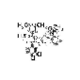 Cc1cc(C)cc(C(=O)C(C)CC(CCN2CCC3(CC2)CN(S(C)(=O)=O)c2ccccc23)c2ccc(Cl)c(Cl)c2)c1